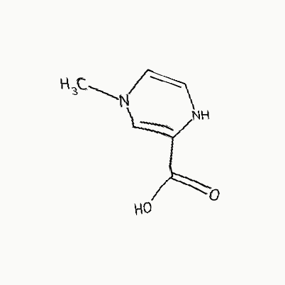 CN1C=CNC(C(=O)O)=C1